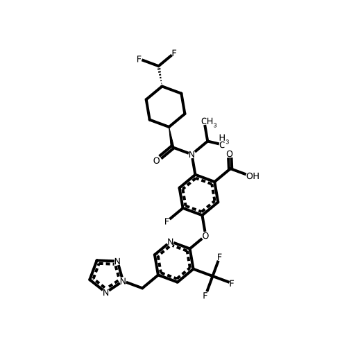 CC(C)N(c1cc(F)c(Oc2ncc(Cn3nccn3)cc2C(F)(F)F)cc1C(=O)O)C(=O)[C@H]1CC[C@H](C(F)F)CC1